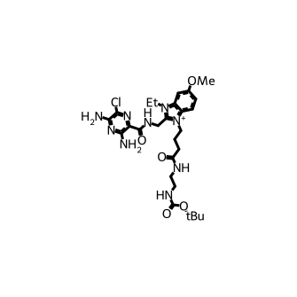 CCn1c(CNC(=O)c2nc(Cl)c(N)nc2N)[n+](CCCC(=O)NCCNC(=O)OC(C)(C)C)c2ccc(OC)cc21